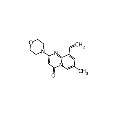 C=Cc1cc(C)cn2c(=O)cc(N3CCOCC3)nc12